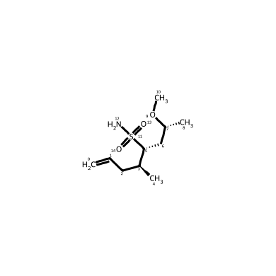 C=CC[C@H](C)[C@@H](C[C@@H](C)OC)S(N)(=O)=O